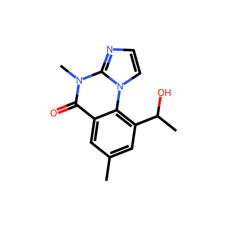 Cc1cc(C(C)O)c2c(c1)c(=O)n(C)c1nccn21